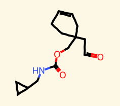 O=CCC1(COC(=O)NCC2CC2)CC=CCC1